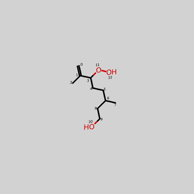 C=C(C)C(CCC(C)CCO)OO